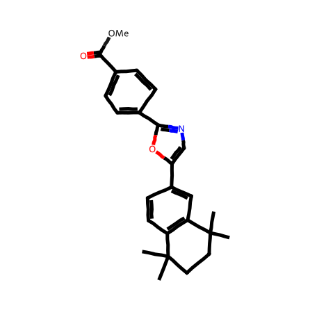 COC(=O)c1ccc(-c2ncc(-c3ccc4c(c3)C(C)(C)CCC4(C)C)o2)cc1